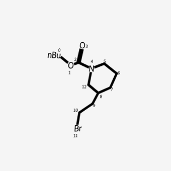 CCCCOC(=O)N1CCCC(CCBr)C1